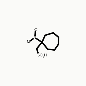 O=S(=O)(O)CC1(N(Cl)Cl)CCCCCC1